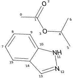 CC(=O)OC(C)C.c1ccc2[nH]ncc2c1